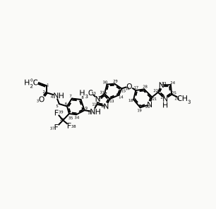 C=CC(=O)NCc1ccc(Nc2nc3cc(Oc4ccnc(-c5ncc(C)[nH]5)c4)ccc3n2C)cc1C(F)(F)F